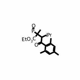 CCOC(=O)C(C)(P=O)C(C(=O)c1c(C)cc(C)cc1C)C(C)C